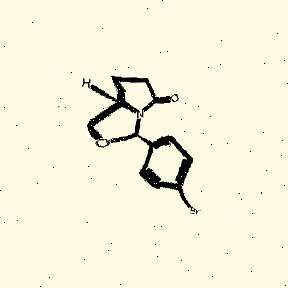 O=C1CC[C@H]2CO[C@H](c3ccc(Br)cc3)N12